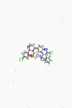 CN(C)c1c(-c2ccccc2)c(Cl)nc2ccc(-c3ccnc(-c4ccc(Cl)cc4)c3CO)cc12